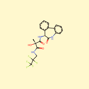 C[C@](O)(C(=O)NCC(F)(F)C(F)(F)F)C(=O)N[C@@H]1C(=O)Nc2ccccc2-c2ccccc21